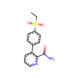 CCS(=O)(=O)c1ccc(-c2cccnc2C(N)=O)cc1